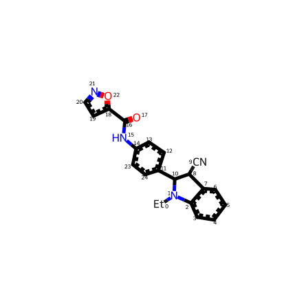 CCN1c2ccccc2C(C#N)C1c1ccc(NC(=O)c2ccno2)cc1